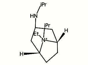 CC[N+]1(C(C)C)[C@@H]2CC[C@H]1CC(NC(C)C)C2